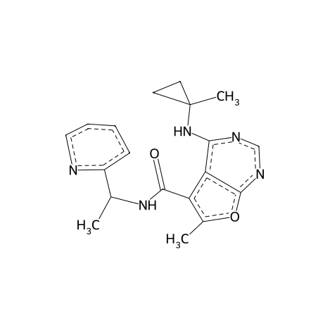 Cc1oc2ncnc(NC3(C)CC3)c2c1C(=O)NC(C)c1ccccn1